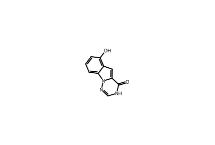 O=c1[nH]cnn2c1cc1c(O)cccc12